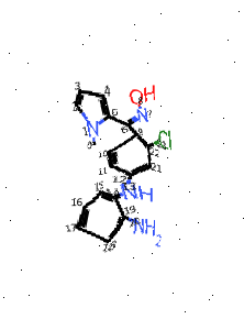 Cn1cccc1/C(=N\O)c1ccc(Nc2ccccc2N)cc1Cl